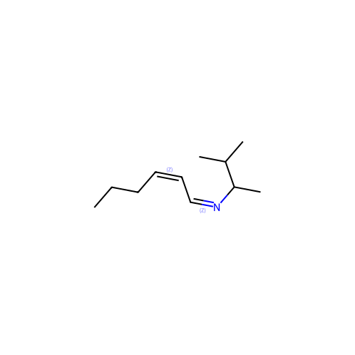 CCC/C=C\C=N/C(C)C(C)C